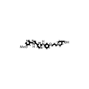 COc1cncc(-c2ncc(-c3ccnc(Nc4cccc(OCCCN5CCC(CO)CC5)c4)n3)[nH]2)c1